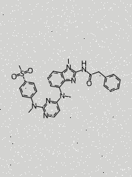 CN(c1ccc(S(C)(=O)=O)cc1)c1nccc(N(C)c2cccc3c2nc(NC(=O)Cc2ccccc2)n3C)n1